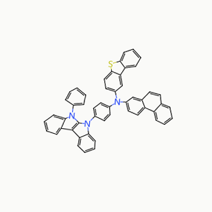 c1ccc(-n2c3ccccc3c3c4ccccc4n(-c4ccc(N(c5ccc6c(ccc7ccccc76)c5)c5ccc6sc7ccccc7c6c5)cc4)c32)cc1